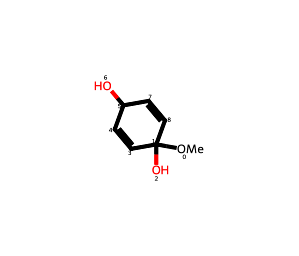 COC1(O)C=CC(O)C=C1